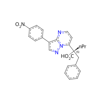 CCC[C@@](Cc1ccccc1)(C(=O)O)c1ccnc2c(-c3ccc([N+](=O)[O-])cc3)cnn12